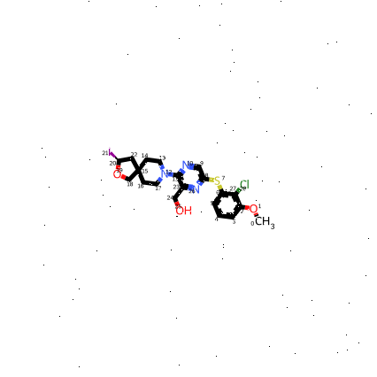 COc1cccc(Sc2cnc(N3CCC4(CC3)CO[C@@H](I)C4)c(CO)n2)c1Cl